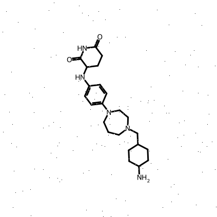 NC1CCC(CN2CCCN(c3ccc(NC4CCC(=O)NC4=O)cc3)CC2)CC1